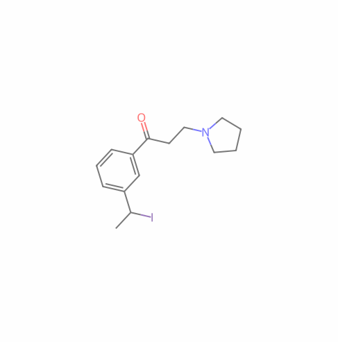 CC(I)c1cccc(C(=O)CCN2CCCC2)c1